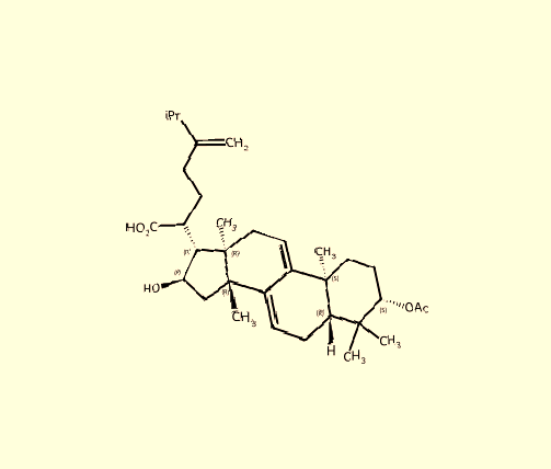 C=C(CCC(C(=O)O)[C@H]1[C@H](O)C[C@@]2(C)C3=CC[C@H]4C(C)(C)[C@@H](OC(C)=O)CC[C@]4(C)C3=CC[C@]12C)C(C)C